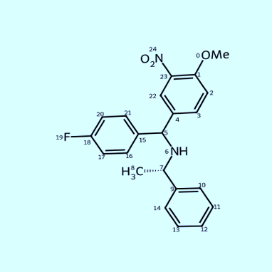 COc1ccc(C(N[C@@H](C)c2ccccc2)c2ccc(F)cc2)cc1[N+](=O)[O-]